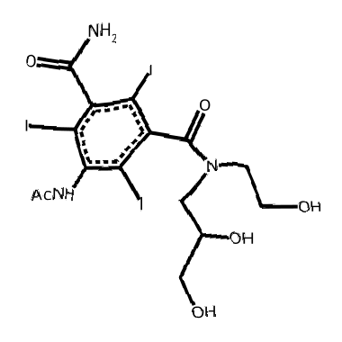 CC(=O)Nc1c(I)c(C(N)=O)c(I)c(C(=O)N(CCO)CC(O)CO)c1I